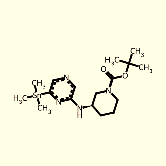 CC(C)(C)OC(=O)N1CCC[C@@H](Nc2cnc[c]([Sn]([CH3])([CH3])[CH3])n2)C1